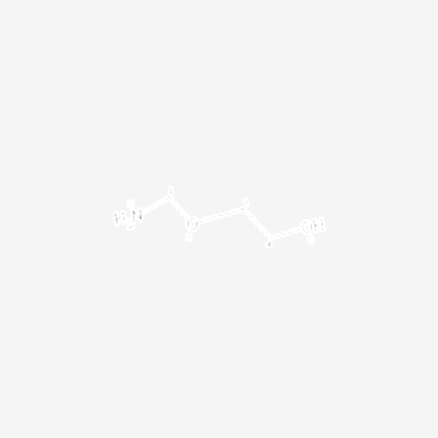 NCOCCO